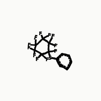 FC1(F)C(F)(F)C(F)(F)C(F)(Sc2ccccc2)C(F)(F)C1(F)F